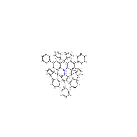 c1ccc(-c2cc3c4c(c2)C2(c5ccccc5-c5ccccc52)c2cc(-c5ccccc5)cc5c2N4c2c(cc(-c4ccccc4)cc2C52c4ccccc4-c4ccccc42)C32c3ccccc3-c3ccccc32)cc1